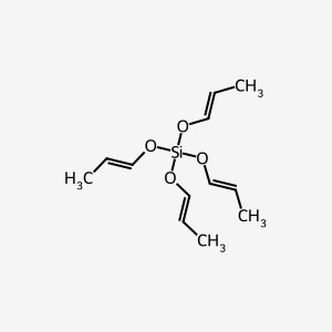 CC=CO[Si](OC=CC)(OC=CC)OC=CC